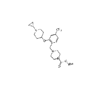 CC(C)(C)OC(=O)N1CCN(Cc2ccc(C(F)(F)F)cc2OC2CCN(C3CC3)CC2)CC1